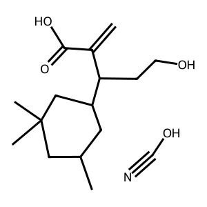 C=C(C(=O)O)C(CCO)C1CC(C)CC(C)(C)C1.N#CO